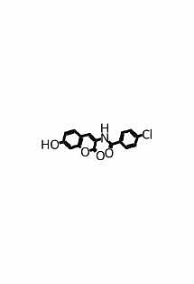 O=C(Nc1cc2ccc(O)cc2oc1=O)c1ccc(Cl)cc1